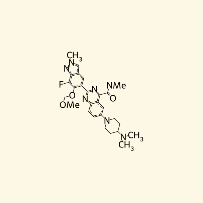 CNC(=O)c1nc(-c2cc3cn(C)nc3c(F)c2OCOC)nc2ccc(N3CCC(N(C)C)CC3)cc12